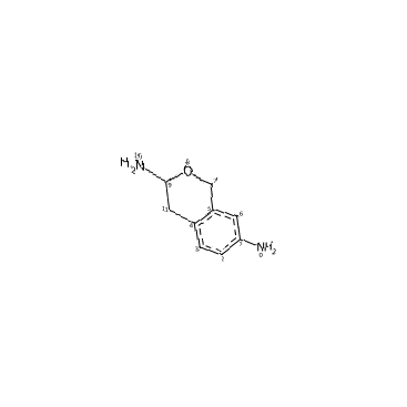 Nc1ccc2c(c1)COC(N)C2